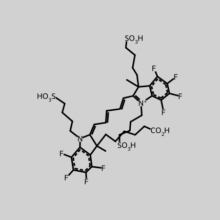 CC1(CCCCS(=O)(=O)O)C(/C=C/C=C/C=C2/N(CCCCS(=O)(=O)O)c3c(F)c(F)c(F)c(F)c3C2(C)CCCCCC(=O)O)=[N+](CCCCS(=O)(=O)O)c2c(F)c(F)c(F)c(F)c21